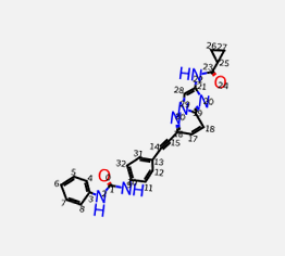 O=C(Nc1ccccc1)Nc1ccc(C#Cc2ccc3nc(NC(=O)C4CC4)cn3n2)cc1